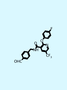 O=Cc1ccc(CNC(=O)c2cc(C(F)(F)F)cnc2Oc2ccc(F)cc2)cc1